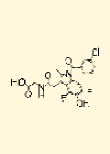 Cc1c(CC(=O)NCC(=O)O)c2c(F)c(O)c(F)cc2n1C(=O)c1cccc(Cl)c1